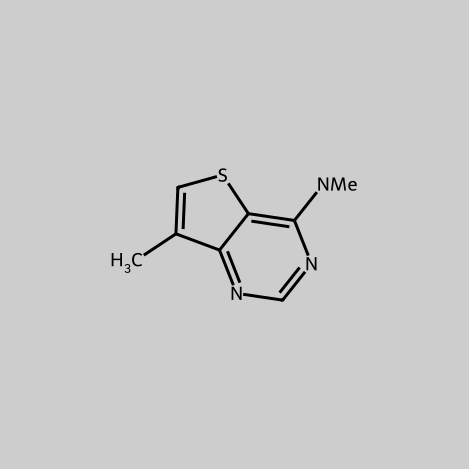 CNc1ncnc2c(C)csc12